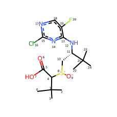 CC(C)(C)C(C(=O)O)[S+]([O-])C[C@H](Nc1nc(Cl)ncc1F)C(C)(C)C